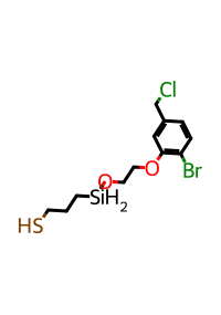 SCCC[SiH2]OCCOc1cc(CCl)ccc1Br